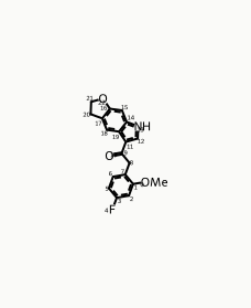 COc1cc(F)ccc1CC(=O)c1c[nH]c2cc3c(cc12)CCO3